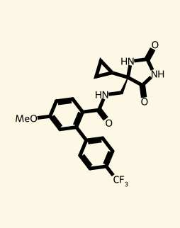 COc1ccc(C(=O)NC[C@@]2(C3CC3)NC(=O)NC2=O)c(-c2ccc(C(F)(F)F)cc2)c1